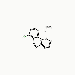 Clc1cccc2c1ccc1ccccc12.F.[MgH2]